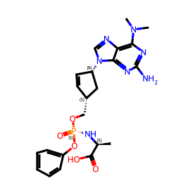 C[C@H](N[P@](=O)(OC[C@@H]1C=C[C@H](n2cnc3c(N(C)C)nc(N)nc32)C1)Oc1ccccc1)C(=O)O